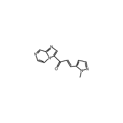 Cn1nccc1/C=C/C(=O)c1cnc2cnccn12